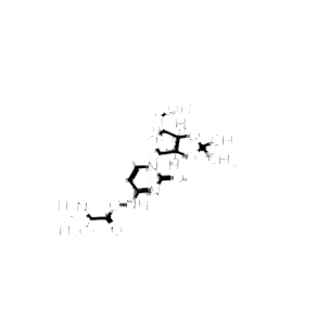 C[C@H](N)C(=O)ONc1ccn([C@@H]2O[C@H](CO)[C@H]3OC(C)(C)O[C@H]32)c(=O)n1